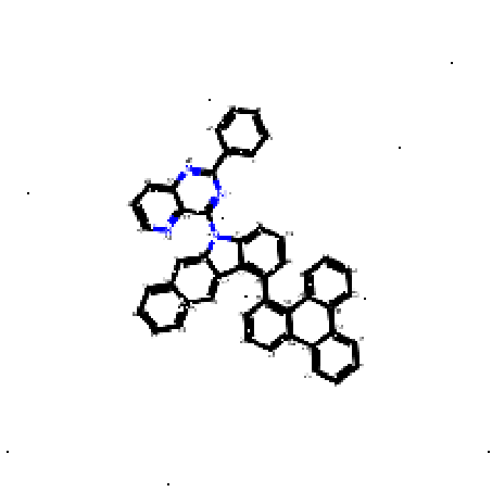 c1ccc(-c2nc(-n3c4cc5ccccc5cc4c4c(-c5cccc6c7ccccc7c7ccccc7c56)cccc43)c3ncccc3n2)cc1